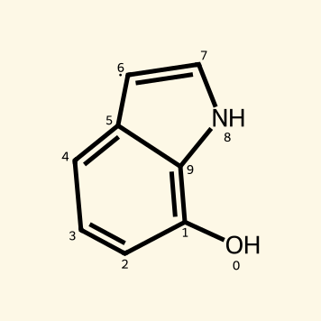 Oc1cccc2[c]c[nH]c12